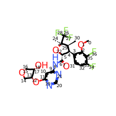 COc1c([C@H]2[C@H](C(=O)Nc3cc(O[C@H]4COC[C@H]4O)ncn3)O[C@@](C)(C(F)(F)F)[C@H]2C)ccc(F)c1F